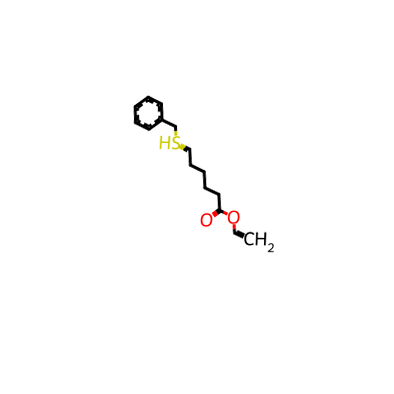 C=COC(=O)CCCCC=[SH]Cc1ccccc1